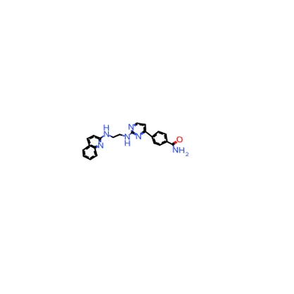 NC(=O)c1ccc(-c2ccnc(NCCNc3ccc4ccccc4n3)n2)cc1